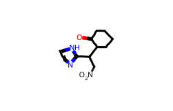 O=C1CCCCC1C(C[N+](=O)[O-])c1ncc[nH]1